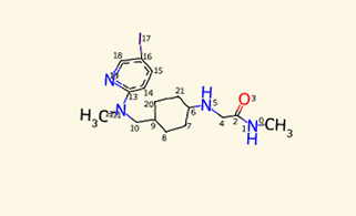 CNC(=O)CNC1CCC(CN(C)c2ccc(I)cn2)CC1